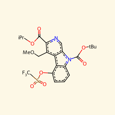 COCc1c(C(=O)OC(C)C)ncc2c1c1c(OS(=O)(=O)C(F)(F)F)cccc1n2C(=O)OC(C)(C)C